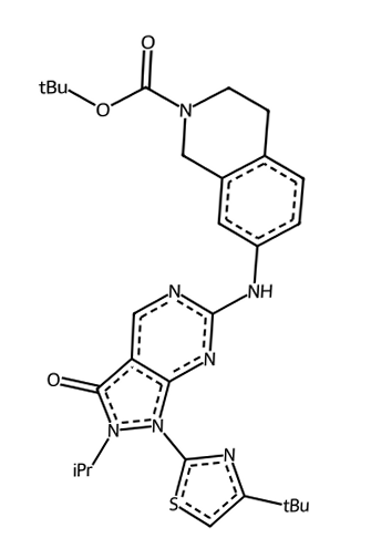 CC(C)n1c(=O)c2cnc(Nc3ccc4c(c3)CN(C(=O)OC(C)(C)C)CC4)nc2n1-c1nc(C(C)(C)C)cs1